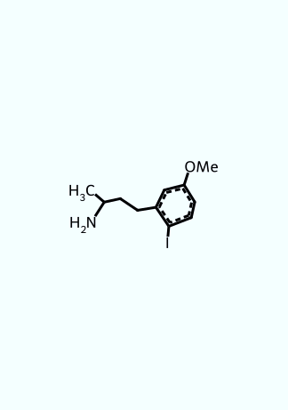 COc1ccc(I)c(CCC(C)N)c1